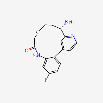 N[C@H]1CCCCC(=O)Nc2cc(F)ccc2-c2ccnc1c2